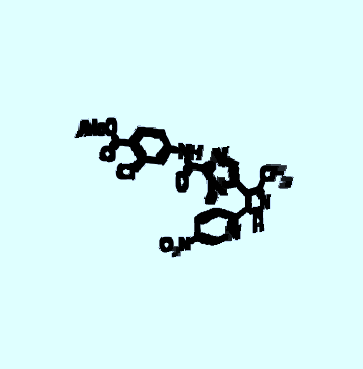 COC(=O)c1ccc(NC(=O)c2ncc(-c3c(C(F)(F)F)n[nH]c3-c3ccc([N+](=O)[O-])cn3)n2C)cc1Cl